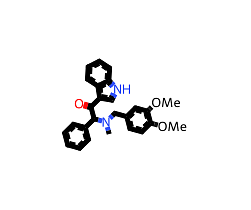 COc1ccc(CN(C)C(C(=O)c2c[nH]c3ccccc23)c2ccccc2)cc1OC